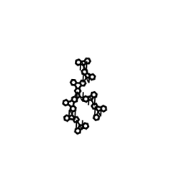 c1ccc(-n2c3ccccc3c3cc(-n4c5ccccc5c5cc(-n6c7cc8c9ccc(-n%10c%11ccccc%11c%11cc(-n%12c%13ccccc%13c%13ccccc%13%12)ccc%11%10)cc9c9ccccc9c8cc7c7cc8c9ccccc9c9cc(-n%10c%11ccccc%11c%11cc(-n%12c%13ccccc%13c%13ccccc%13%12)ccc%11%10)ccc9c8cc76)ccc54)ccc32)cc1